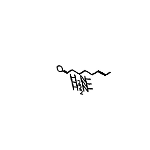 CC=CCCCCC=O.CN.CN.CN